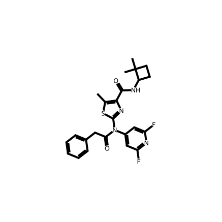 Cc1sc(N(C(=O)Cc2ccccc2)c2cc(F)nc(F)c2)nc1C(=O)NC1CCC1(C)C